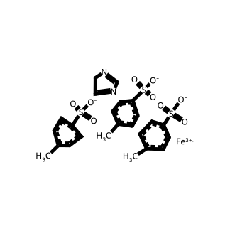 C1=NC=NC1.Cc1ccc(S(=O)(=O)[O-])cc1.Cc1ccc(S(=O)(=O)[O-])cc1.Cc1ccc(S(=O)(=O)[O-])cc1.[Fe+3]